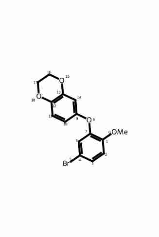 COc1ccc(Br)cc1Oc1ccc2c(c1)OCCO2